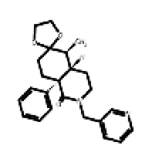 C[C@H]1[C@@H]2CCN(Cc3cccnc3)C(=O)[C@@]2(c2ccccc2)CCC12OCCO2